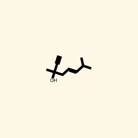 C#CC(C)(O)C/C=C/C(C)C